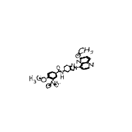 COc1ccc2nccc(-n3cc4c(n3)CCC(NC(=O)c3ccc(OC)c([N+](=O)[O-])c3)C4)c2n1